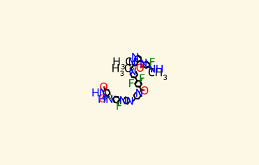 CNc1cc(=O)n(-c2ccnc3c2cc([C@H](C)N2CC=C(c4c(F)cc(C(=O)N5CCC(CN6CCN(c7ccc(N[C@H]8CCC(=O)NC8=O)cc7F)CC6)CC5)cc4F)CC2)n3C)cc1F